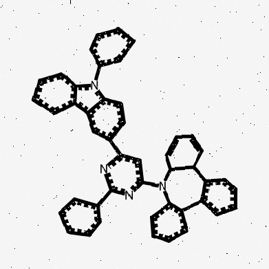 C1=CC2c3ccccc3-c3ccccc3N(c3cc(-c4ccc5c(c4)c4ccccc4n5-c4ccccc4)nc(-c4ccccc4)n3)C2C=C1